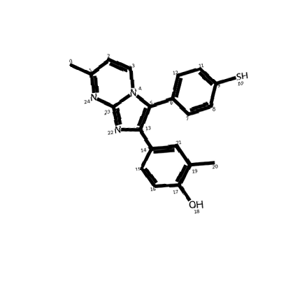 Cc1ccn2c(-c3ccc(S)cc3)c(-c3ccc(O)c(C)c3)nc2n1